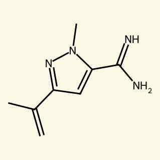 C=C(C)c1cc(C(=N)N)n(C)n1